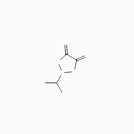 CC(C)B1OC(=O)C(=O)O1